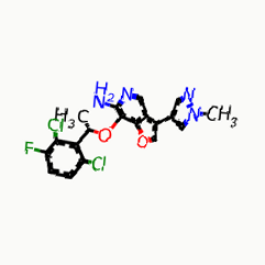 C[C@@H](Oc1c(N)ncc2c(-c3cnn(C)c3)coc12)c1c(Cl)ccc(F)c1Cl